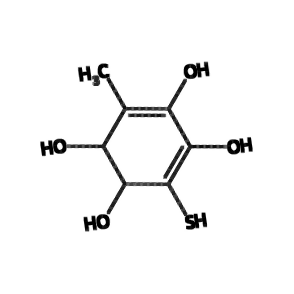 CC1=C(O)C(O)=C(S)C(O)C1O